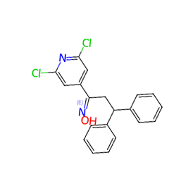 O/N=C(\CC(c1ccccc1)c1ccccc1)c1cc(Cl)nc(Cl)c1